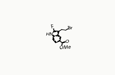 COC(=O)c1ccc2[nH]c(F)c(CCBr)c2c1